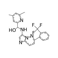 Cc1cc(C)nc(C(O)Nc2cnc3ccc(-c4ccccc4C(F)(F)F)nn23)c1